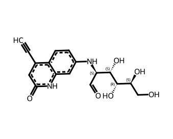 C#Cc1cc(=O)[nH]c2cc(N[C@H](C=O)[C@H](O)[C@@H](O)[C@@H](O)CO)ccc12